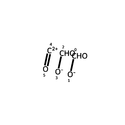 O=C[O-].O=C[O-].[C+2]=O